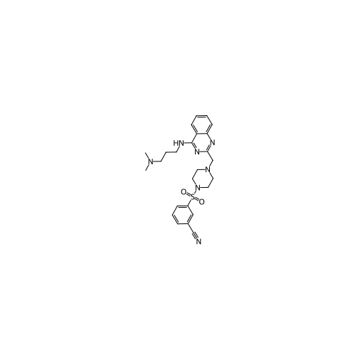 CN(C)CCCNc1nc(CN2CCN(S(=O)(=O)c3cccc(C#N)c3)CC2)nc2ccccc12